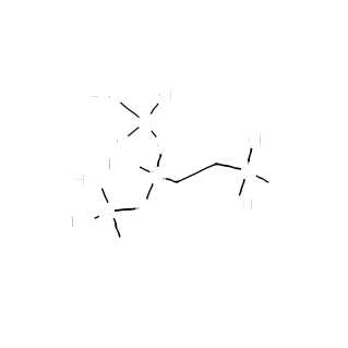 C[Si](C)(Cl)CC[Si](C)(O[Si](C)(C)C)O[Si](C)(C)C